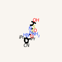 CC(C)c1cc(C#N)cc(C(C)C)c1NC(=O)N=S(N)(=O)c1ncc(C(C)(C)O)s1